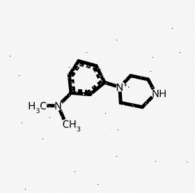 CN(C)c1cccc([N+]2CCNCC2)c1